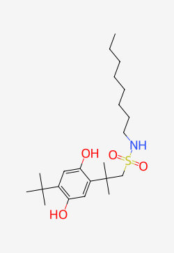 CCCCCCCCNS(=O)(=O)CC(C)(C)c1cc(O)c(C(C)(C)C)cc1O